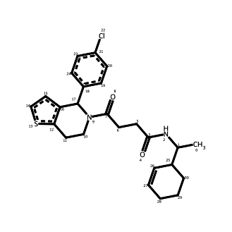 CC(NC(=O)CCC(=O)N1CCc2sccc2C1c1ccc(Cl)cc1)C1C=CCCC1